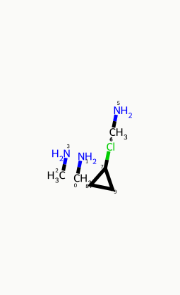 CN.CN.CN.ClC1[CH]C1